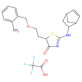 Cc1ccccc1COCCC1SC(NC2CC3C=CC2C3)=NC1=O.O=C(O)C(F)(F)F